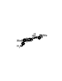 CNS(=O)(=O)c1cccc(OCC(O)CNC2COC3(CCN(S(=O)(=O)c4ccc(OC)c(-c5ccc(CN)cc5)c4)CC3)C2)c1